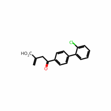 C=C(CC(=O)c1ccc(-c2ccccc2Cl)cc1)C(=O)O